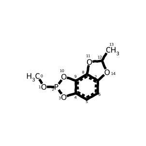 COP1Oc2ccc3c(c2O1)OC(C)O3